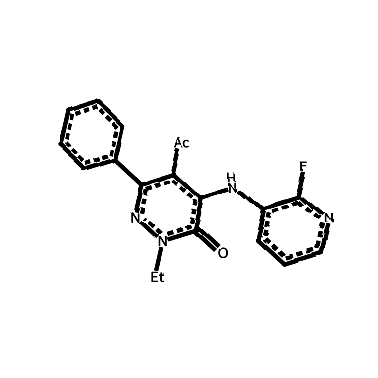 CCn1nc(-c2ccccc2)c(C(C)=O)c(Nc2cccnc2F)c1=O